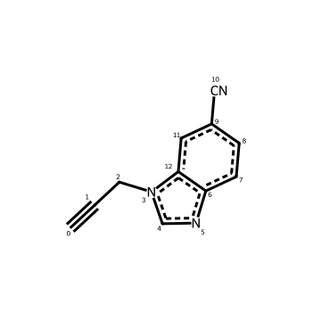 C#CCn1cnc2ccc(C#N)cc21